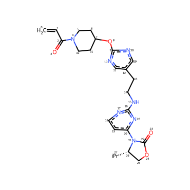 C=CC(=O)N1CCC(Oc2ncc(CCNc3nccc(N4C(=O)OC[C@@H]4C(C)C)n3)cn2)CC1